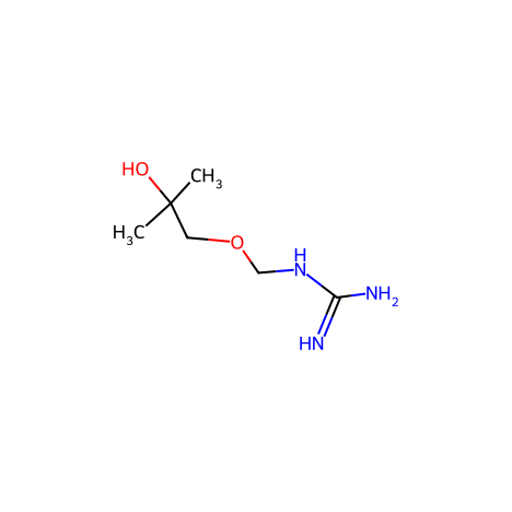 CC(C)(O)COCNC(=N)N